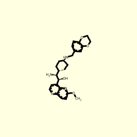 COc1ccc2nccc([C@H](O)[C@@H](N)[C@H]3CC[C@H](NCc4ccc5c(c4)OCCO5)CC3)c2n1